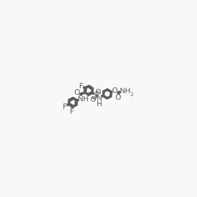 NC(=O)OC1CCC(NS(=O)(=O)c2ccc(F)c(C(=O)Nc3ccc(F)c(F)c3)c2)CC1